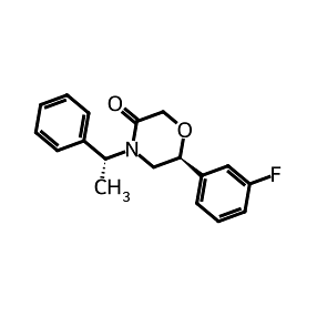 C[C@H](c1ccccc1)N1C[C@H](c2cccc(F)c2)OCC1=O